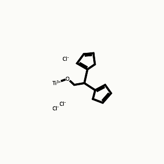 [Cl-].[Cl-].[Cl-].[Ti+3][O]CC(C1=CC=CC1)C1=CC=CC1